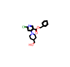 O=C(OCc1ccccc1)c1cnc(Cl)cc1N1CCC(CO)CC1